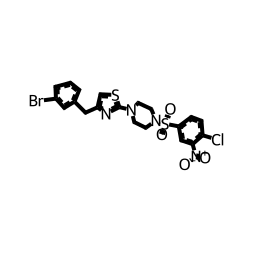 O=[N+]([O-])c1cc(S(=O)(=O)N2CCN(c3nc(Cc4cccc(Br)c4)cs3)CC2)ccc1Cl